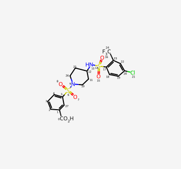 O=C(O)c1cccc(S(=O)(=O)N2CCC(NS(=O)(=O)c3ccc(Cl)cc3C(F)(F)F)CC2)c1